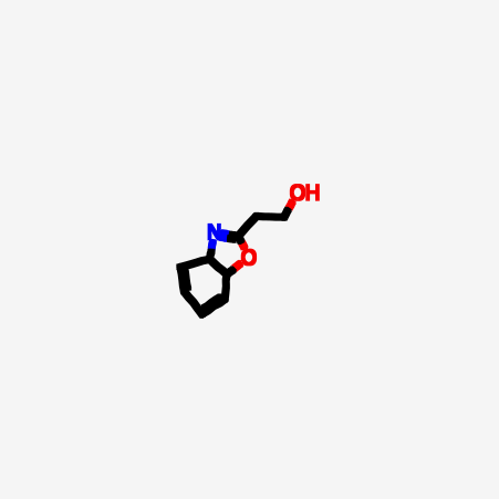 OCCC1=NC2C=CC=CC2O1